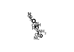 C[C@H](c1ccc(SOON(C)C)cc1)N1C(=O)[C@@H]2C[C@H]1CN2C[C@H](N)C(=O)N1CCC[C@H]1C#N